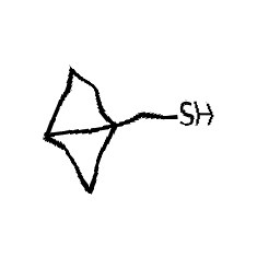 SC12CC1C2